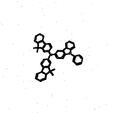 CC1(C)C2=C(CCC=C2)c2ccc(N(c3ccc4c(c3)C(C)(C)C3C=CC=CC43)c3ccc4c(c3)c3ccccc3n4-c3ccccc3)cc21